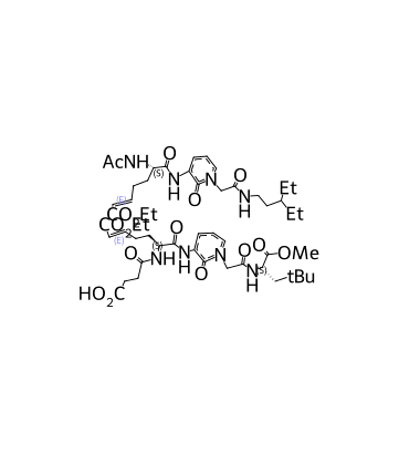 CCOC(=O)/C=C/CC[C@H](NC(=O)CCC(=O)O)C(=O)Nc1cccn(CC(=O)N[C@@H](CC(C)(C)C)C(=O)OC)c1=O.CCOC(=O)/C=C/CC[C@H](NC(C)=O)C(=O)Nc1cccn(CC(=O)NCCC(CC)CC)c1=O